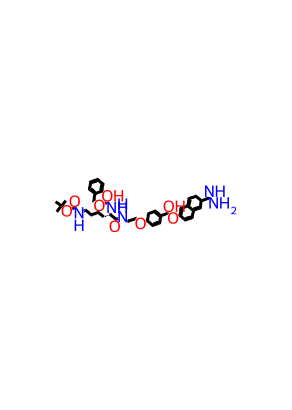 CC(C)(C)OC(=O)NCCCC[C@H](NC(O)OCc1ccccc1)C(=O)NCCOC1C=CC(C(O)Oc2ccc3c(c2)=CCC(C(=N)N)C=3)=CC1